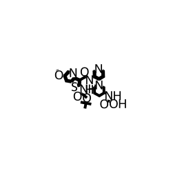 COc1cnc2c(C(=O)Nc3cnccc3N3CCC[C@H](NC(=O)O)C3)c(NC(=O)OC(C)(C)C)sc2c1